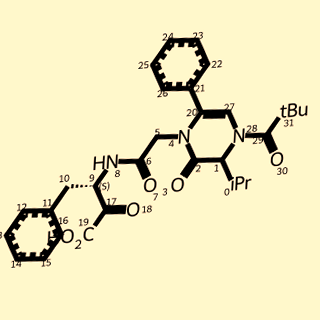 CC(C)C1C(=O)N(CC(=O)N[C@@H](Cc2ccccc2)C(=O)C(=O)O)C(c2ccccc2)=CN1C(=O)C(C)(C)C